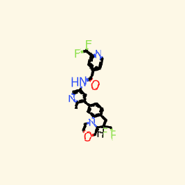 Cc1ncc(NC(=O)c2ccnc(C(F)F)c2)cc1-c1ccc2c(c1)N1CCOC[C@H]1[C@](F)(CF)C2